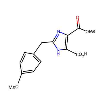 COC(=O)c1nc(Cc2ccc(OC)cc2)[nH]c1C(=O)O